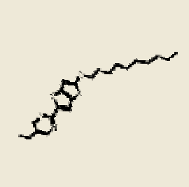 CCCCCCCCCCOc1cc2sc(-c3ncc(CC)cn3)cc2s1